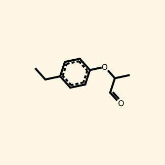 CCc1ccc(OC(C)C=O)cc1